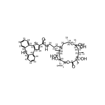 CC[C@H]1OC(=O)[C@H](C)[C@@H](O)[C@H](C)[C@@H](O)[C@](C)(O)C[C@@H](C)CN(CCCNC(=O)c2cc3c(s2)-c2ccccc2Nc2ccccc2-3)[C@H](C)[C@@H](O)[C@]1(C)O